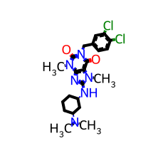 CN(C)[C@@H]1CCC[C@H](Nc2nc3c(c(=O)n(Cc4ccc(Cl)c(Cl)c4)c(=O)n3C)n2C)C1